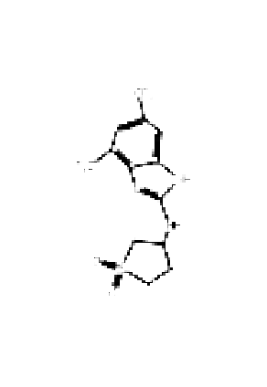 O=S1(=O)CCC(Nc2nc3c(C(F)(F)F)cc(C(F)(F)F)cc3[nH]2)C1